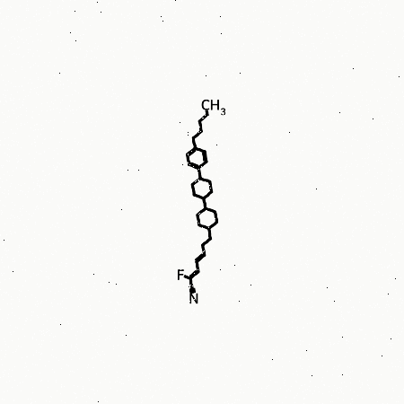 CCCCCc1ccc(C2CCC(C3CCC(CCC=CC=C(F)C#N)CC3)CC2)cc1